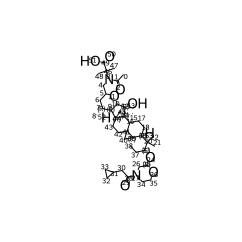 CC(=O)N(CC1C[C@@H](C)[C@H]2C(O1)[C@H](O)[C@@]1(C)C3CC[C@H]4C(C)(C)[C@@H](O[C@H]5CN(C(=O)CC6CC6)CCO5)CC[C@@]45CC35CC[C@]21C)C(C)(C)C(=O)O